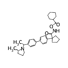 CC(c1ccc(-c2ccc(C3(C(=O)NOC(=O)C4CCCCC4)CCCC3)cc2)cc1)N1CCC[C@H]1C